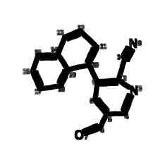 N#Cc1ncc(C=O)cc1-c1cccc2ccccc12